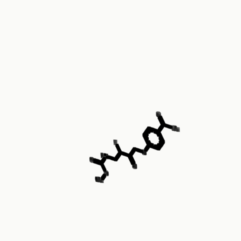 CC(C)(C)OC(=O)NCC(F)C(=O)COc1ccc(C(=O)C(C)(C)C)cc1